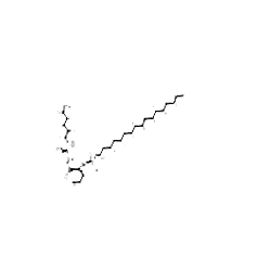 CCCCCCCCCCCCCCCCCNC(=O)S[C@H]1CCCO[C@H]1COC(=O)NCCCCCBr